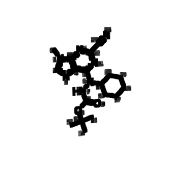 Cn1cnc2c(N(NC(=O)OC(C)(C)C)C3CCCCC3)nc(C#N)nc21